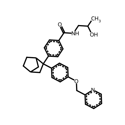 CC(O)CNC(=O)c1ccc(C2(c3ccc(OCc4ccccn4)cc3)CC3CCC2C3)cc1